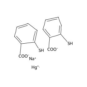 O=C([O-])c1ccccc1S.O=C([O-])c1ccccc1S.[Hg+].[Na+]